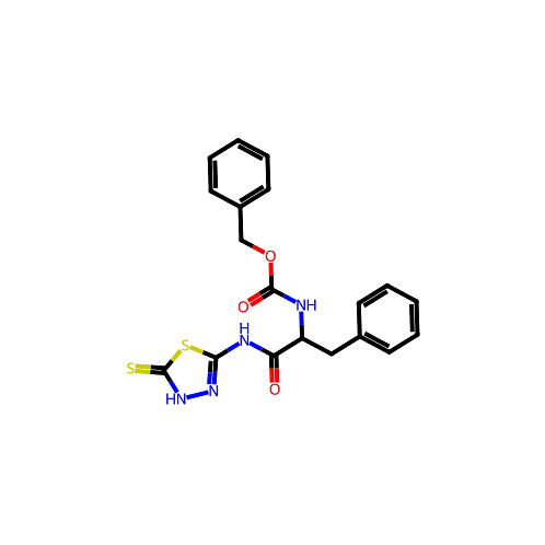 O=C(NC(Cc1ccccc1)C(=O)Nc1n[nH]c(=S)s1)OCc1ccccc1